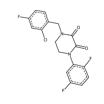 O=C1C(=O)N(c2cc(F)ccc2F)CCN1Cc1ccc(F)cc1Cl